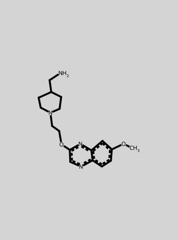 COc1ccc2ncc(OCCN3CCC(CN)CC3)nc2c1